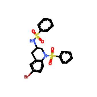 O=S(=O)(NC1Cc2cc(Br)ccc2N(S(=O)(=O)c2ccccc2)C1)c1ccccc1